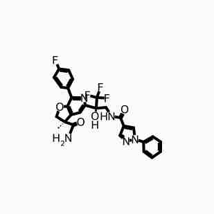 C[C@]1(C(N)=O)COc2c1cc([C@@](O)(CNC(=O)c1cnn(-c3ccccc3)c1)C(F)(F)F)nc2-c1ccc(F)cc1